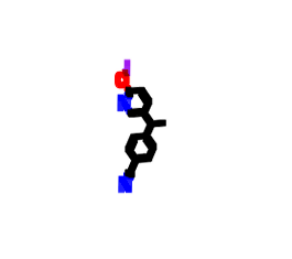 CC(c1ccc(C#N)cc1)c1ccc(OI)nc1